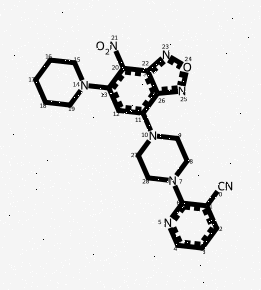 N#Cc1cccnc1N1CCN(c2cc(N3CCCCC3)c([N+](=O)[O-])c3nonc23)CC1